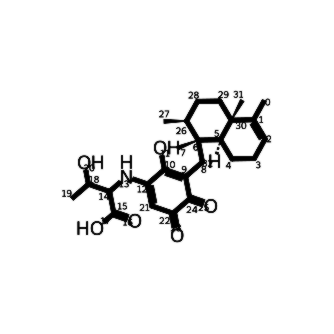 CC1=CCC[C@H]2[C@](C)(CC3=C(O)C(NC(C(=O)O)C(C)O)=CC(=O)C3=O)[C@@H](C)CC[C@]12C